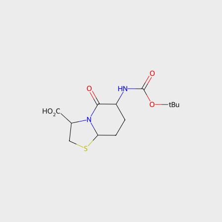 CC(C)(C)OC(=O)NC1CCC2SCC(C(=O)O)N2C1=O